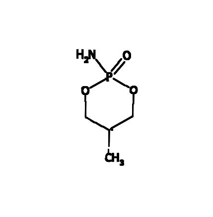 C[C]1COP(N)(=O)OC1